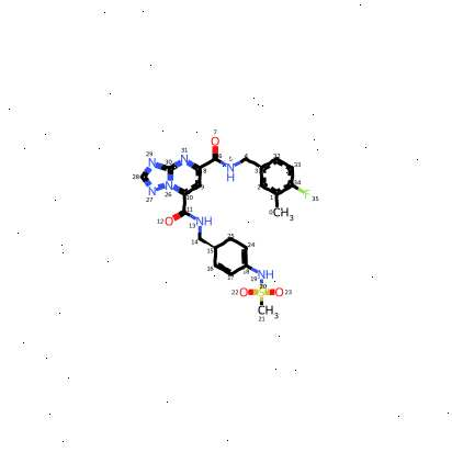 Cc1cc(CNC(=O)c2cc(C(=O)NC[C@@H]3C=CC(NS(C)(=O)=O)=CC3)n3ncnc3n2)ccc1F